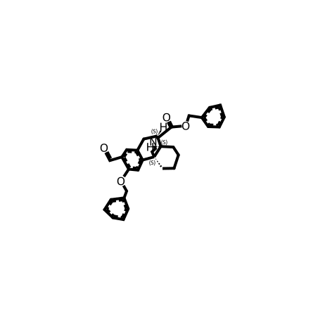 O=Cc1cc2c(cc1OCc1ccccc1)[C@]13CCCC[C@@H]1[C@H](C2)N(C(=O)OCc1ccccc1)CC3